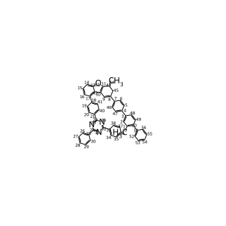 Cc1cc(-c2ccc(C3=Cc4c(oc5cccc(-c6ccc(-c7nc(-c8ccccc8)nc(-c8ccccc8)n7)cc6)c45)C(C)C3)cc2)ccc1-c1ccccc1